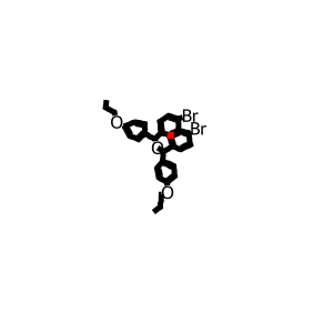 CCCOc1ccc(C(OC(c2ccc(Br)cc2)c2ccc(OCCC)cc2)c2ccc(Br)cc2)cc1